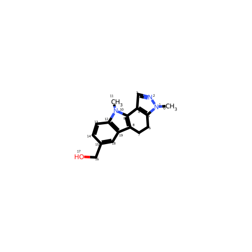 Cn1ncc2c1CCc1c-2n(C)c2ccc(CO)cc12